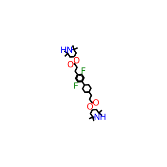 CC1(C)CC(OC(=O)CCc2cc(F)c(C3CCC(CCC(=O)OC4CC(C)(C)NC(C)(C)C4)CC3)cc2F)CC(C)(C)N1